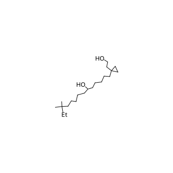 CCC(C)(C)CCCCCC(O)CCCCCC1(CCO)CC1